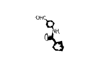 O=[C]c1ccc(NC(=O)c2ccccc2)cc1